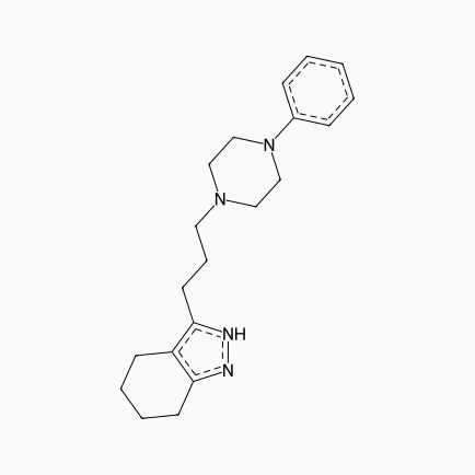 c1ccc(N2CCN(CCCc3[nH]nc4c3CCCC4)CC2)cc1